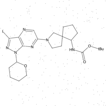 CC(C)(C)OC(=O)NC1CCCC12CCN(c1cnc3c(I)nn(C4CCCCO4)c3n1)C2